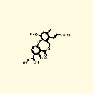 CCOC(=O)/C=C/c1c(C)cc(OC)c2c1COC(=O)c1c(ccc(C(O)CC(C)C)c1OC)O2